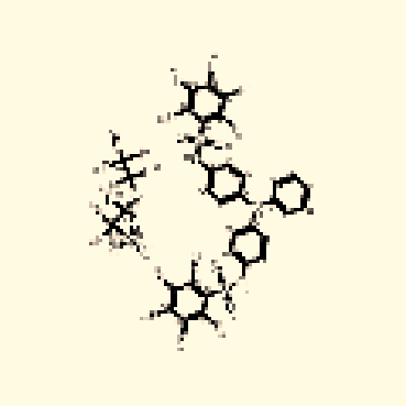 O=S(=O)(Oc1ccc([S+](c2ccccc2)c2ccc(OS(=O)(=O)c3c(F)c(F)c(F)c(F)c3F)cc2)cc1)c1c(F)c(F)c(F)c(F)c1F.O=S(=O)([O-])C(F)(F)C(F)(F)OC(F)(F)C(F)(F)I